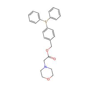 O=C(CN1CCOCC1)OCc1ccc([S+](c2ccccc2)c2ccccc2)cc1